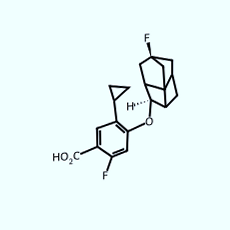 O=C(O)c1cc(C2CC2)c(O[C@H]2C3CC4CC2C[C@@](F)(C4)C3)cc1F